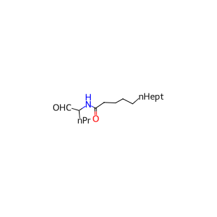 CCCCCCCCCCCC(=O)NC(C=O)CCC